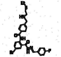 CCSCCNCc1ccc(C(=O)Nc2ccc(Br)cc2C(=O)NN=Cc2ccc(F)cc2)cc1